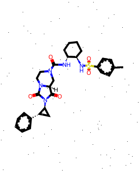 Cc1ccc(S(=O)(=O)N[C@@H]2CCCC[C@H]2NC(=O)N2CCN3C(=O)N([C@H]4C[C@@H]4c4ccccc4)C(=O)[C@@H]3C2)cc1